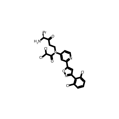 CC(C)[C@H](N)C(=O)CCN(C(=O)C(Cl)Cl)c1ccnc(-c2cc(-c3c(Cl)cccc3Cl)no2)c1